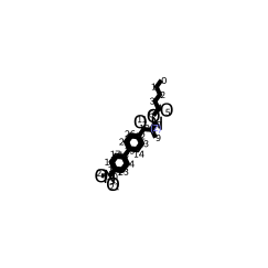 CCCCC(=O)O/N=C(/C)C(=O)c1ccc(-c2ccc([N+](=O)[O-])cc2)cc1